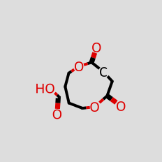 O=C1CCC(=O)OCCCCO1.O=CO